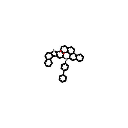 c1ccc(-c2ccc(N(c3ccc4sc5ccc6ccccc6c5c4c3)c3cc4ccccc4c4ccc5ccccc5c34)cc2)cc1